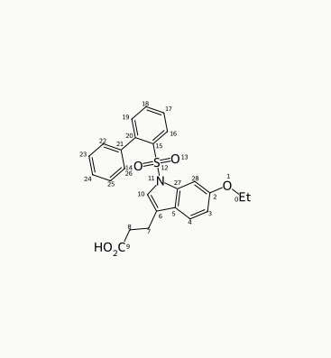 CCOc1ccc2c(CCC(=O)O)cn(S(=O)(=O)c3ccccc3-c3ccccc3)c2c1